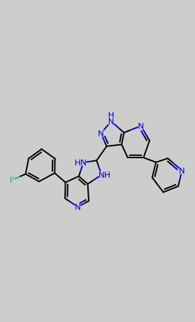 Fc1cccc(-c2cncc3c2NC(c2n[nH]c4ncc(-c5cccnc5)cc24)N3)c1